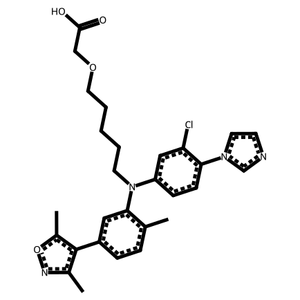 Cc1ccc(-c2c(C)noc2C)cc1N(CCCCCOCC(=O)O)c1ccc(-n2ccnc2)c(Cl)c1